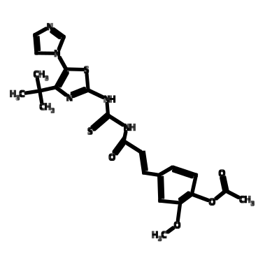 COc1cc(C=CC(=O)NC(=S)Nc2nc(C(C)(C)C)c(-n3ccnc3)s2)ccc1OC(C)=O